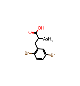 O=C(O)C([AsH2])Cc1cc(Br)ccc1Br